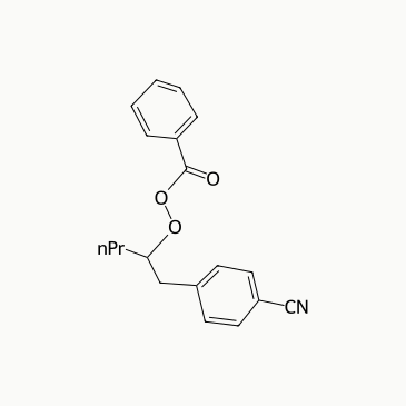 CCCC(Cc1ccc(C#N)cc1)OOC(=O)c1ccccc1